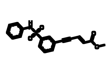 COC(=O)/C=C/C#Cc1cccc(S(=O)(=O)Nc2ccccc2)c1